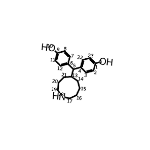 Oc1ccc(C(c2ccc(O)cc2)C2CCCCNCCC2)cc1